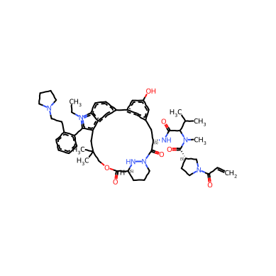 C=CC(=O)N1CC[C@H](C(=O)N(C)C(C(=O)N[C@H]2Cc3cc(O)cc(c3)-c3ccc4c(c3)c(c(-c3ccccc3CCN3CCCC3)n4CC)CC(C)(C)COC(=O)[C@@H]3CCCN(N3)C2=O)C(C)C)C1